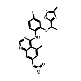 Cc1noc(C(C)Oc2cc(F)ccc2Nc2ncnc3cc(/N=[SH](/C)=O)cc(C)c23)n1